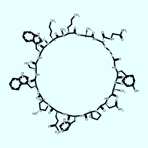 CCCC[C@H]1C(=O)N(C)[C@@H](CCCC)C(=O)N[C@@H](C)C(=O)N[C@H](C(=O)NCC(N)=O)CSCC(=O)N[C@@H](Cc2ccc(O)cc2)C(=O)N(C)[C@@H](C)C(=O)N[C@@H](CC(N)=O)C(=O)N2CCC[C@H]2C(=O)N[C@@H](Cc2cnc[nH]2)C(=O)N[C@@H](CCC(N)=O)C(=O)N2C[C@H](O)C[C@H]2C(=O)N[C@@H](Cc2c[nH]c3ccccc23)C(=O)N[C@@H](CO)C(=O)N[C@@H](Cc2c[nH]c3ccccc23)C(=O)N1C